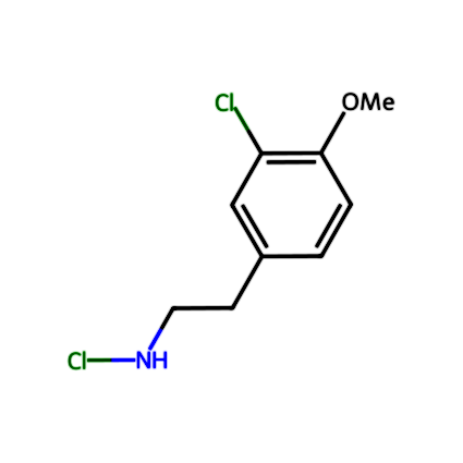 COc1ccc(CCNCl)cc1Cl